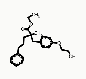 CCOC(=O)C(C)(CCCc1ccccc1)Cc1ccc(OCCO)cc1